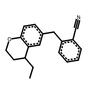 CCC1CCOc2ccc(Cc3ccccc3C#N)cc21